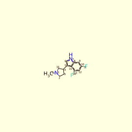 CN1CCC(c2c[nH]c3cc(F)cc(F)c23)C1